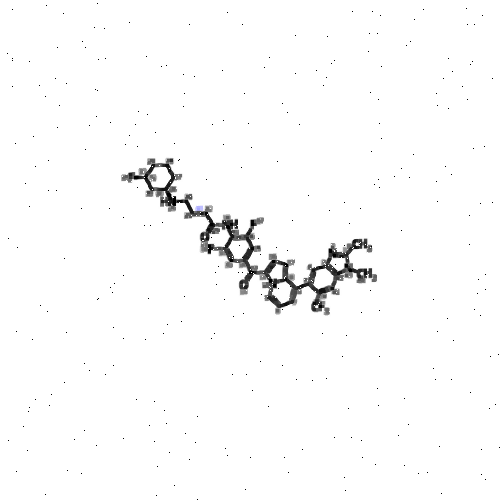 Cc1nc2cc(-c3cccn4c(C(=O)c5cc(F)c(NC(=O)/C=C/CN[C@@H]6CCC[C@H](F)C6)c(F)c5)ccc34)c(C(F)(F)F)cc2n1C